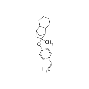 C=Cc1ccc(OC2(C)CC3CC2C2CCCCC32)cc1